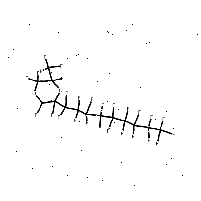 FC1OC(F)(F)C(F)(C(F)(F)F)OC1(F)C(F)(F)C(F)(F)C(F)(F)C(F)(F)C(F)(F)C(F)(F)C(F)(F)C(F)(F)C(F)(F)F